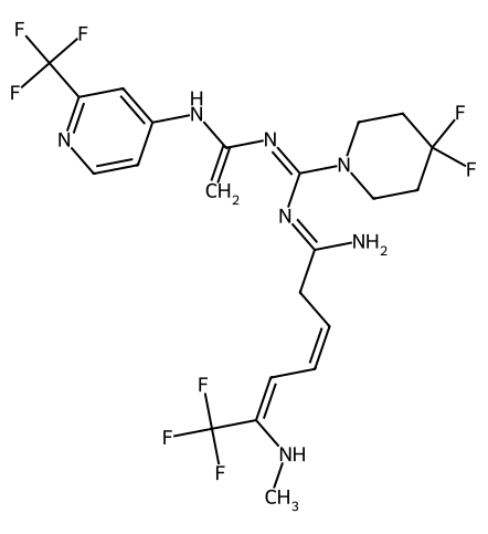 C=C(/N=C(\N=C(/N)C/C=C\C=C(/NC)C(F)(F)F)N1CCC(F)(F)CC1)Nc1ccnc(C(F)(F)F)c1